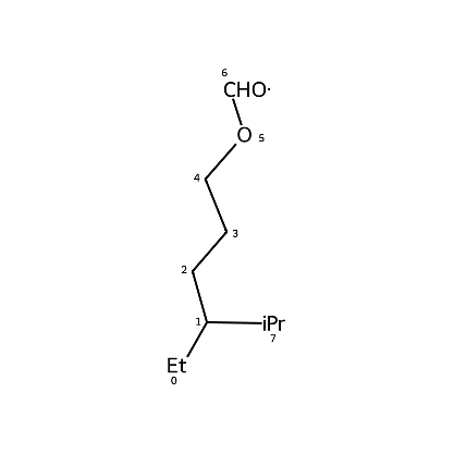 CCC(CCCO[C]=O)C(C)C